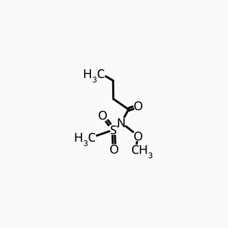 CCCC(=O)N(OC)S(C)(=O)=O